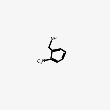 [NH]Cc1ccccc1[N+](=O)[O-]